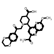 COc1ccc2nc(C(N)=O)cc(C3CC(C(=O)O)CCN3CC(=O)c3ccc4c(c3)OCCO4)c2n1